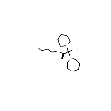 CCCCOC(=O)C(C)(N1CCCCC1)N1CCCNCC1